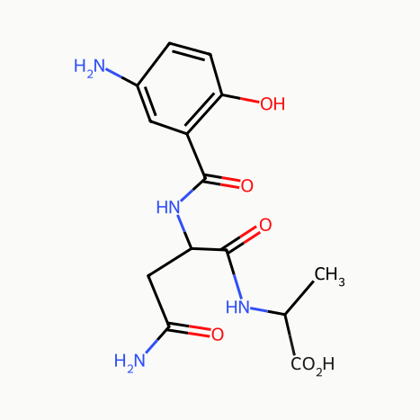 CC(NC(=O)C(CC(N)=O)NC(=O)c1cc(N)ccc1O)C(=O)O